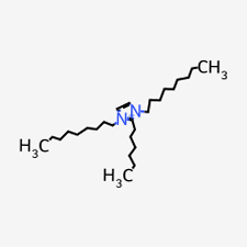 CCCCCCCCCn1cc[n+](CCCCCCCCC)c1CCCCCC